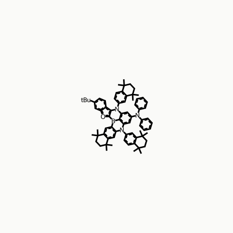 CC(C)(C)c1ccc2c3c(oc2c1)B1c2cc4c(cc2N(c2ccc5c(c2)C(C)(C)CCC5(C)C)c2cc(N(c5ccccc5)c5ccccc5)cc(c21)N3c1ccc2c(c1)C(C)(C)CCC2(C)C)C(C)(C)CCC4(C)C